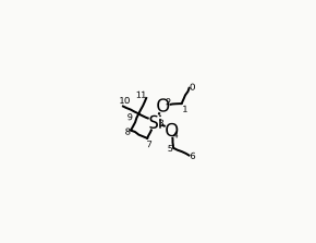 CCO[Si]1(OCC)CCC1(C)C